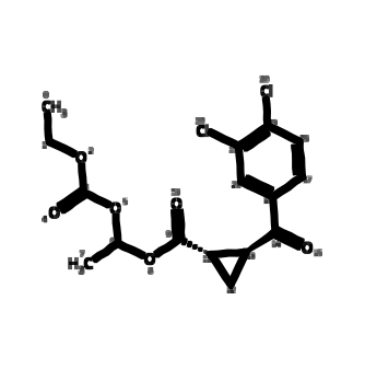 CCOC(=O)OC(C)OC(=O)[C@H]1C[C@@H]1C(=O)c1ccc(Cl)c(Cl)c1